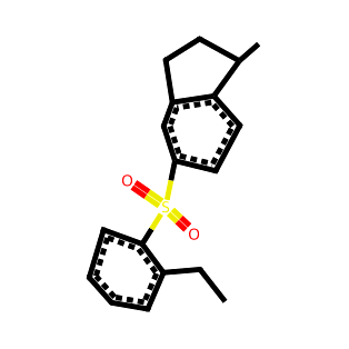 CCc1ccccc1S(=O)(=O)c1ccc2c(c1)CCC2C